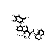 O=C(NN1CCOc2ccccc21)c1cnc2c(-c3cc(F)cc(F)c3F)cccc2c1B(O)O